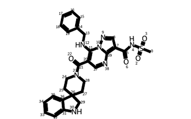 CS(=O)(=O)NC(=O)c1cnn2c(NCc3ccccc3)c(C(=O)N3CCC4(CC3)CNc3ccccc34)cnc12